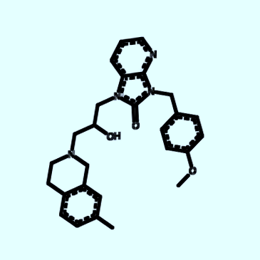 COc1ccc(Cn2c(=O)n(CC(O)CN3CCc4ccc(C)cc4C3)c3cccnc32)cc1